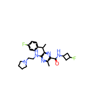 Cc1nc(NCCN2CCCC2)c(C(C)c2ccc(F)cc2)nc1C(=O)NC1CC(F)C1